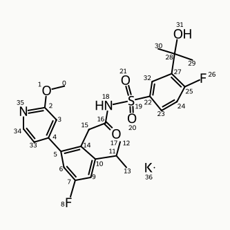 COc1cc(-c2cc(F)cc(C(C)C)c2CC(=O)NS(=O)(=O)c2ccc(F)c(C(C)(C)O)c2)ccn1.[K]